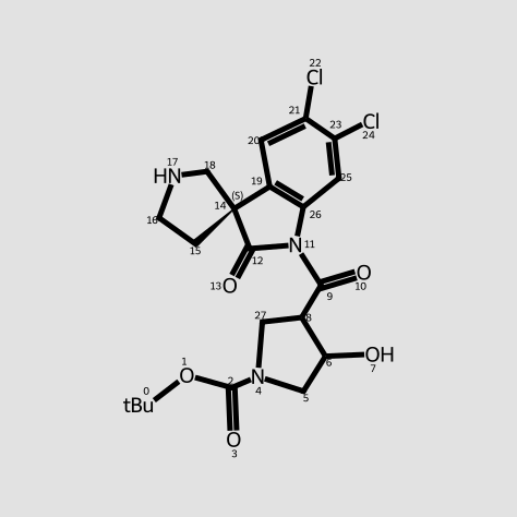 CC(C)(C)OC(=O)N1CC(O)C(C(=O)N2C(=O)[C@@]3(CCNC3)c3cc(Cl)c(Cl)cc32)C1